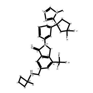 Cn1cnnc1[C@@]1(c2cccc(N3Cc4c(cc(CNC5(C)CCC5)cc4C(F)(F)F)C3=O)c2)CCC(F)(F)C1